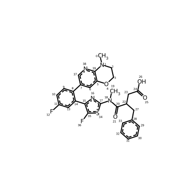 CN1CCOc2cc(-c3ccc(F)cc3-c3nc(N(C)C(=O)C(CC(=O)O)Cc4ccccc4)sc3F)cnc21